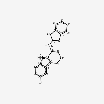 Cc1ccc2[nH]c3c(c2c1)CCCC3NC1Cc2ccccc2C1